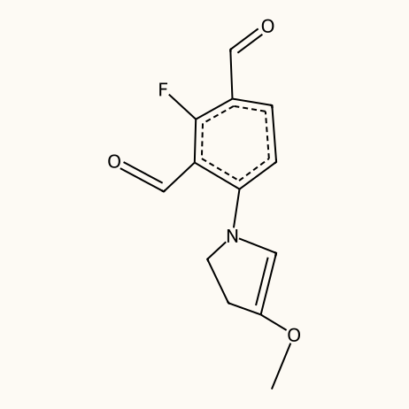 COC1=CN(c2ccc(C=O)c(F)c2C=O)CC1